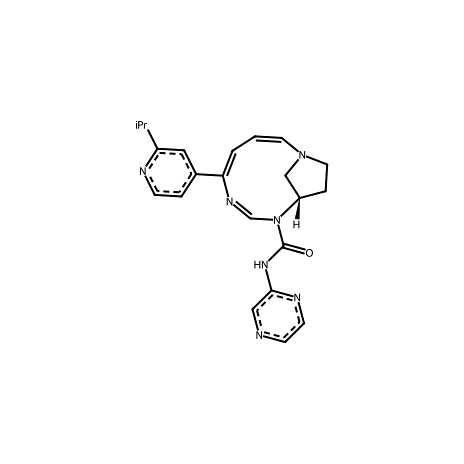 CC(C)c1cc(C2=CC=CN3CC[C@@H](C3)N(C(=O)Nc3cnccn3)C=N2)ccn1